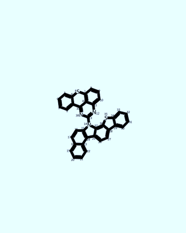 c1ccc2c(c1)Sc1cccc3nc(-n4c5ccc6ccccc6c5c5ccc6c7ccccc7sc6c54)nc-2c13